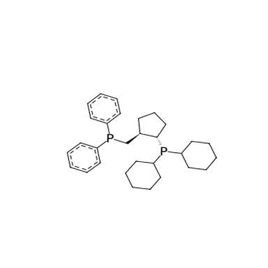 c1ccc(P(C[C@H]2CCC[C@@H]2P(C2CCCCC2)C2CCCCC2)c2ccccc2)cc1